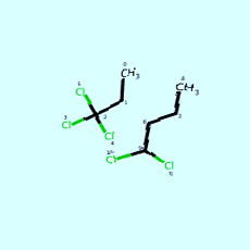 CCC(Cl)(Cl)Cl.CCCC(Cl)Cl